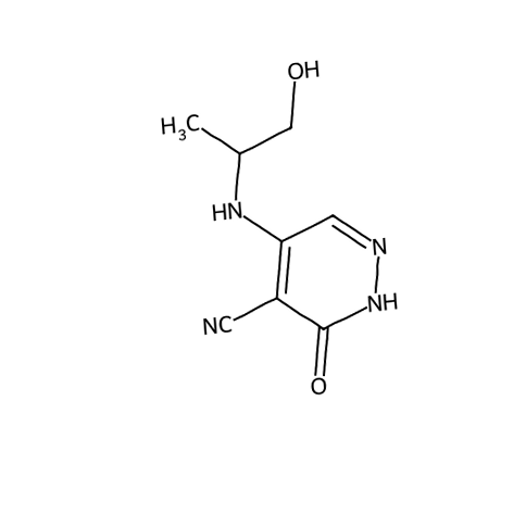 CC(CO)Nc1cn[nH]c(=O)c1C#N